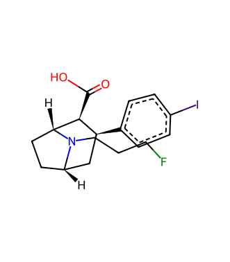 O=C(O)[C@H]1[C@@H](c2ccc(I)cc2)C[C@@H]2CC[C@H]1N2CCCF